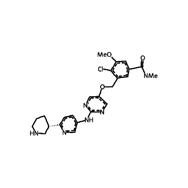 CNC(=O)c1cc(COc2cnc(Nc3ccc([C@H]4CCCNC4)nc3)nc2)c(Cl)c(OC)c1